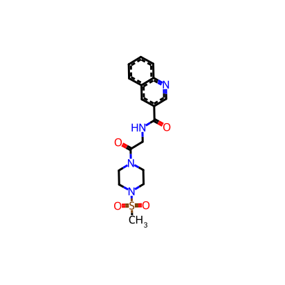 CS(=O)(=O)N1CCN(C(=O)CNC(=O)c2cnc3ccccc3c2)CC1